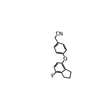 N#CCc1ccc(Oc2ccc(F)c3c2CCC3)cc1